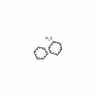 S.c1ccccc1.c1ccccc1